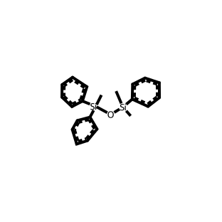 C[Si](C)(O[Si](C)(c1ccccc1)c1ccccc1)c1ccccc1